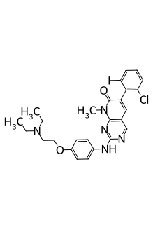 CCN(CC)CCOc1ccc(Nc2ncc3cc(-c4c(Cl)cccc4I)c(=O)n(C)c3n2)cc1